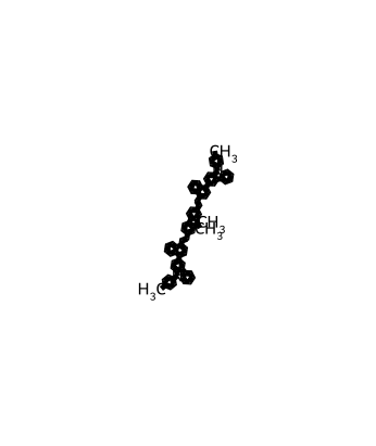 Cc1ccc(-n2c3ccccc3c3cc(-c4ccc(/C=C/c5ccc6c(c5)C(C)(C)c5cc(/C=C/c7ccc(-c8ccc9c(c8)c8ccccc8n9-c8ccc(C)cc8)c8ccccc78)ccc5-6)c5ccccc45)ccc32)cc1